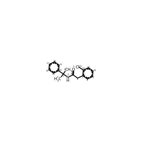 CC(C)(NC(=O)Cc1ccccc1Cl)c1ccccc1